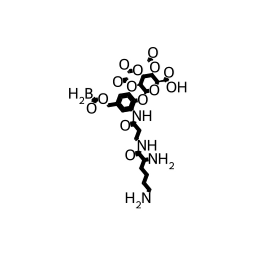 BC(=O)OCc1ccc(O[C@@H]2O[C@H](C(=O)O)[C@@H](OC=O)[C@H](OC=O)[C@H]2OC=O)c(NC(=O)CCNC(=O)C(N)CCCCN)c1